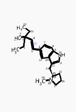 CCC(O)(/C=C/c1ccc2[nH]cc(C[C@H]3CCCN3C)c2c1)CC